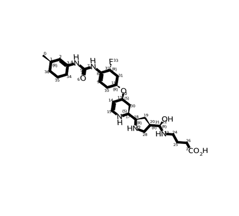 C[C@H]1C=C(NC(=O)NC2=CC[C@@H](O[C@@H]3C=CN[C@H]([C@H]4C[C@@H]([C@@H](O)NCCCC(=O)O)CN4)C3)C[C@H]2F)CCC1